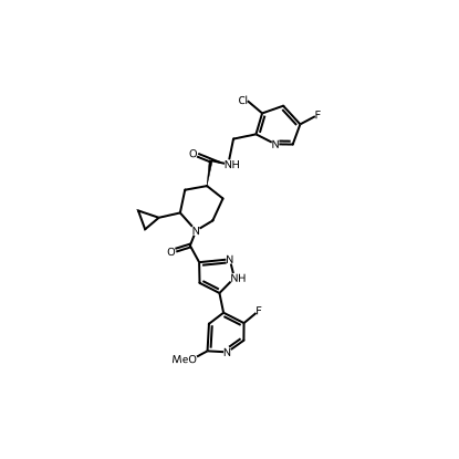 COc1cc(-c2cc(C(=O)N3CC[C@H](C(=O)NCc4ncc(F)cc4Cl)CC3C3CC3)n[nH]2)c(F)cn1